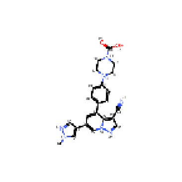 Cn1cc(-c2cc(-c3ccc(N4CCN(C(=O)O)CC4)cc3)c3c(C#N)cnn3c2)cn1